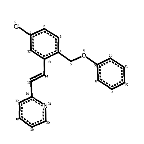 Clc1ccc(COc2ccccc2)c(C=Cc2ccccn2)c1